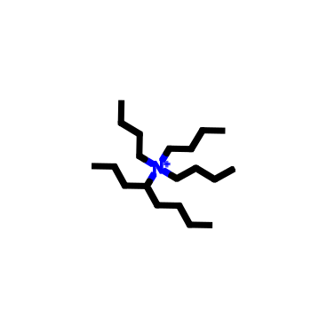 CCCCC(CCC)[N+](CCCC)(CCCC)CCCC